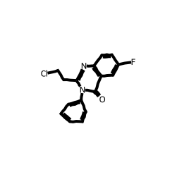 O=c1c2cc(F)ccc2nc(CCCl)n1-c1ccccc1